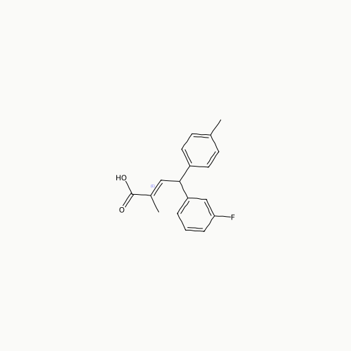 C/C(=C\C(c1ccc(C)cc1)c1cccc(F)c1)C(=O)O